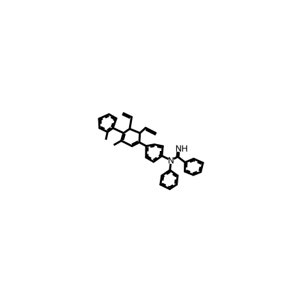 C=CC1C(c2ccc(N(C(=N)c3ccccc3)c3ccccc3)cc2)=CC(C)=C(c2ccccc2C)C1C=C